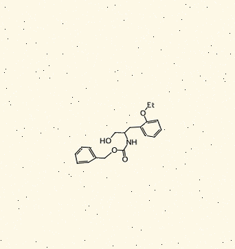 CCOc1ccccc1CC(CO)NC(=O)OCc1ccccc1